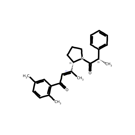 C/C(=C\C(=O)c1cc(C)ccc1C)[C@@H]1CCCN1C(=O)[C@@H](C)c1ccccc1